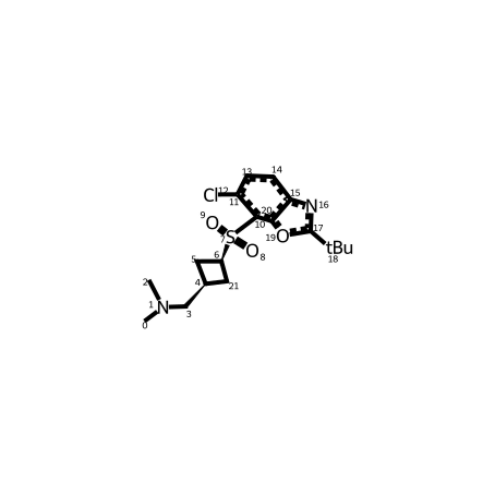 CN(C)C[C@H]1C[C@@H](S(=O)(=O)c2c(Cl)ccc3nc(C(C)(C)C)oc23)C1